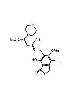 CCOC(=O)C(C/C(C)=C/Cc1c(O)c2c(c(C)c1OC)COC2=O)N1CCOCC1